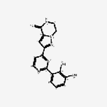 O=C1NCCn2nc(-c3ccnc(-c4cccc(O)c4O)n3)cc21